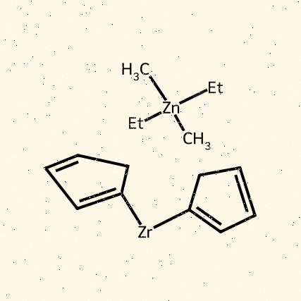 C1=CC[C]([Zr][C]2=CC=CC2)=C1.C[CH2][Zn]([CH3])([CH3])[CH2]C